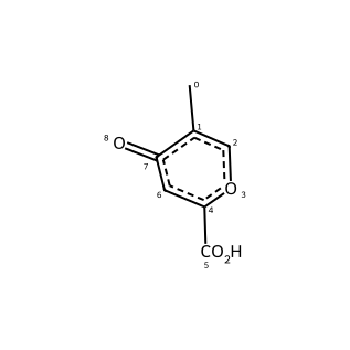 Cc1coc(C(=O)O)cc1=O